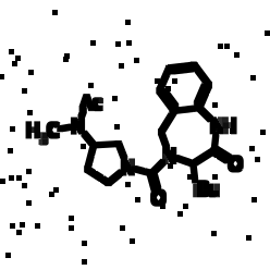 CCC(C)C1C(=O)Nc2ccccc2CN1C(=O)N1CCC(N(C)C(C)=O)C1